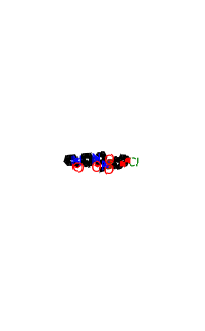 CCN(C1CCCN(c2ccc(-n3ccccc3=O)cc2)C1=O)S(=O)(=O)c1ccc2cc(Cl)ccc2c1